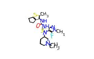 Cc1sc2c(c1NC(=O)NSN(c1cnn(C)c1F)C1CCCN(C)C1)CCC2